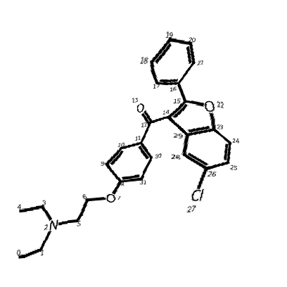 CCN(CC)CCOc1ccc(C(=O)c2c(-c3ccccc3)oc3ccc(Cl)cc23)cc1